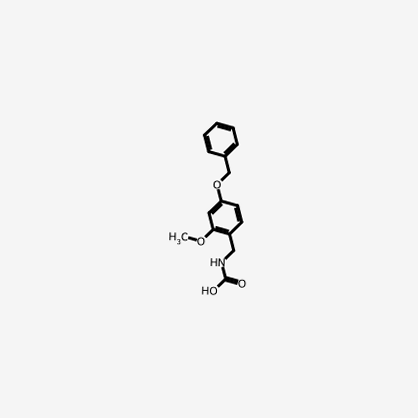 COc1cc(OCc2ccccc2)ccc1CNC(=O)O